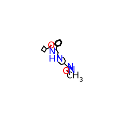 Cc1nnc(C2CCN(CCC(NC(=O)C3CCC3)c3ccccc3)CC2)o1